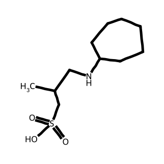 CC(CNC1CCCCCC1)CS(=O)(=O)O